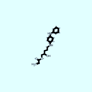 C=CC(=O)OCC(O)CCCNc1ccc(Nc2ccccc2)cc1